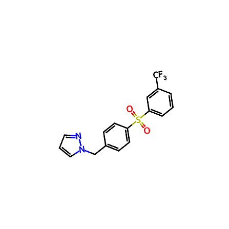 O=S(=O)(c1ccc(Cn2cccn2)cc1)c1cccc(C(F)(F)F)c1